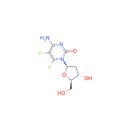 Nc1nc(=O)n([C@H]2C[C@H](O)[C@@H](CO)O2)c(F)c1F